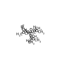 CCCCN(c1ccc(C(c2ccc(N(CCCC(F)(F)F)c3c(C)cc(C)cc3C)cc2)c2ccc(Nc3c(C)cc(C)cc3C)c3ccccc23)cc1)c1c(C)cc(C)cc1C